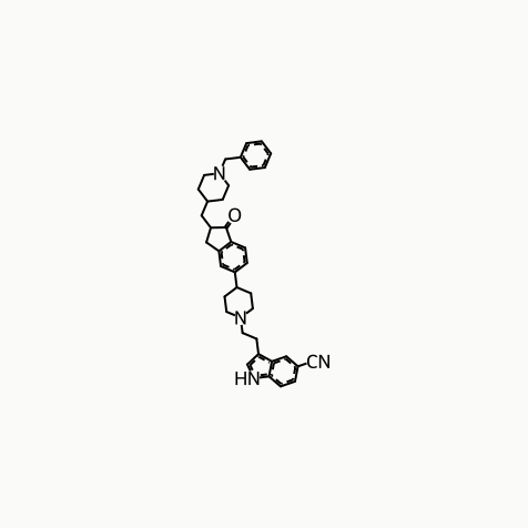 N#Cc1ccc2[nH]cc(CCN3CCC(c4ccc5c(c4)CC(CC4CCN(Cc6ccccc6)CC4)C5=O)CC3)c2c1